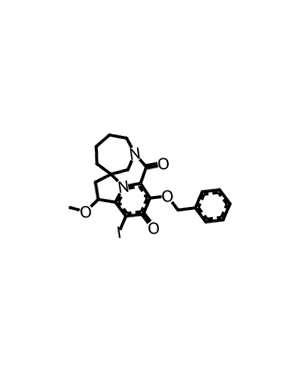 COC1CC23CCCCN(C2)C(=O)c2c(OCc4ccccc4)c(=O)c(I)c1n23